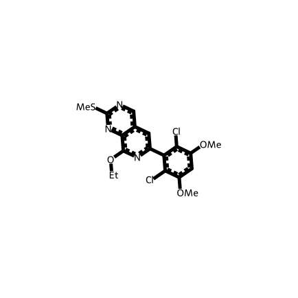 CCOc1nc(-c2c(Cl)c(OC)cc(OC)c2Cl)cc2cnc(SC)nc12